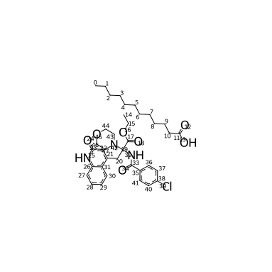 CCCCCCCCCCCC(=O)O.CCOC(=O)C(Cc1cc(=O)[nH]c2ccccc12)(NC(=O)c1ccc(Cl)cc1)N1CCOCC1